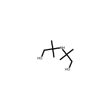 CC(C)(CO)NC(C)(C)CO